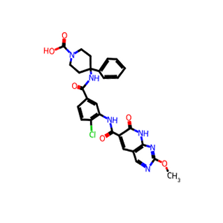 COc1ncc2cc(C(=O)Nc3cc(C(=O)NC4(c5ccccc5)CCN(C(=O)O)CC4)ccc3Cl)c(=O)[nH]c2n1